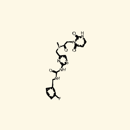 CN(Cc1csc(NC(=O)NCc2cccc(F)c2)n1)C(=O)Cn1c(=O)cc[nH]c1=O